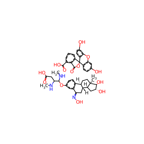 CNC(CC(=O)O)C(NC)Oc1ccc2c(c1)C(=NO)C[C@@H]1[C@@H]2CC[C@]2(C)[C@@H](O)[C@H](O)C[C@@H]12.O=C(O)c1cccc2c1C(=O)OC21c2ccc(O)cc2Oc2cc(O)ccc21